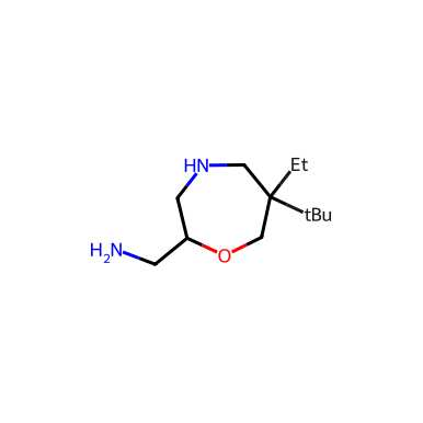 CCC1(C(C)(C)C)CNCC(CN)OC1